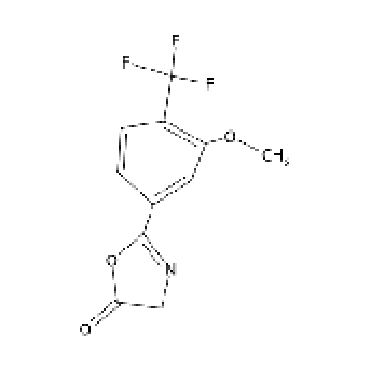 COc1cc(C2=NCC(=O)O2)ccc1C(F)(F)F